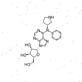 OC[C@@H]1O[C@@H](n2cnc3c(N(c4ccccc4)[C@H]4CCNC4)ncnc32)[C@H](O)[C@@H]1O